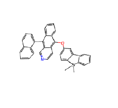 C[Si]1(C)c2ccccc2-c2cc(Oc3c4ccccc4c(-c4cccc5ccccc45)c4cnccc34)ccc21